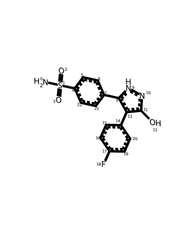 NS(=O)(=O)c1ccc(-c2[nH]nc(O)c2-c2ccc(F)cc2)cc1